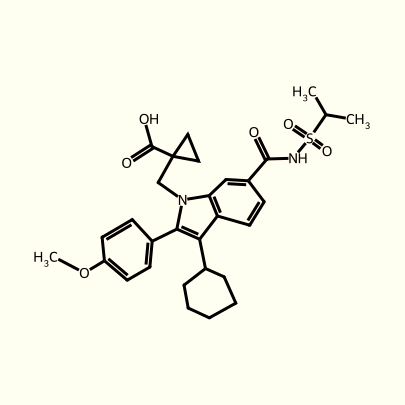 COc1ccc(-c2c(C3CCCCC3)c3ccc(C(=O)NS(=O)(=O)C(C)C)cc3n2CC2(C(=O)O)CC2)cc1